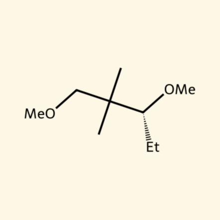 CC[C@@H](OC)C(C)(C)COC